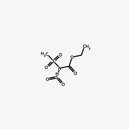 CCOC(=O)N([SH](=O)=O)S(C)(=O)=O